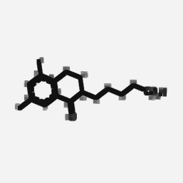 Cc1cc(C)c2c(c1)C(=O)C(CCCCC(=O)O)CC2